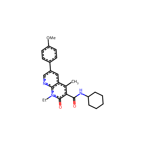 CCn1c(=O)c(C(=O)NC2CCCCC2)c(C)c2cc(-c3ccc(OC)cc3)cnc21